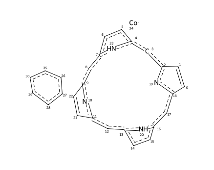 C1=Cc2cc3ccc(cc4nc(cc5ccc(cc1n2)[nH]5)C=C4)[nH]3.[Co].c1ccccc1